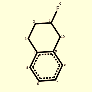 FC1CCc2ccccc2C1